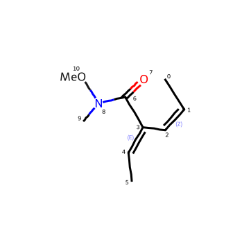 C/C=C\C(=C/C)C(=O)N(C)OC